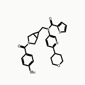 CC(C)(C)c1ccc(C(=O)N2CC3C(C2)C3CN(C(=O)c2cccs2)c2ccc(C3CCOCC3)nc2)cc1